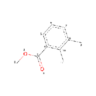 COC(=O)c1cccc(C)c1C